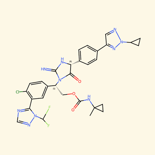 CC1(NC(=O)OC[C@H](c2ccc(Cl)c(-c3ncnn3C(F)F)c2)N2C(=N)N[C@H](c3ccc(-c4cnn(C5CC5)n4)cc3)C2=O)CC1